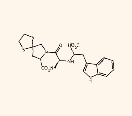 C[C@H](NC(Cc1c[nH]c2ccccc12)C(=O)O)C(=O)N1CC2(CC1C(=O)O)SCCS2